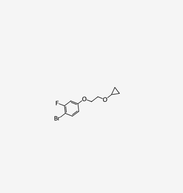 Fc1cc(OCCOC2CC2)ccc1Br